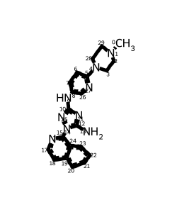 CN1CCN(c2ccc(Nc3nc(N)n(-c4nccc5ccccc45)n3)cn2)CC1